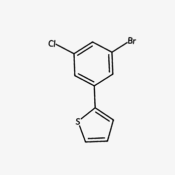 Clc1cc(Br)cc(-c2cccs2)c1